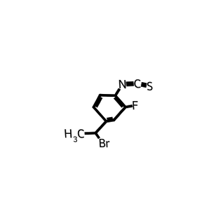 CC(Br)c1ccc(N=C=S)c(F)c1